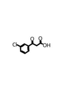 O=C(O)CC(=O)c1cccc(Cl)c1